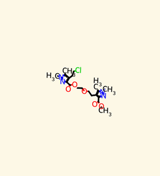 COC(=O)c1nn(C)c(C)c1CCOCCOC(=O)c1nn(C)c(C)c1CCCl